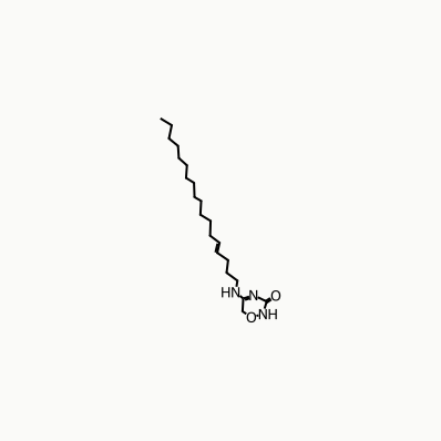 CCCCCCCCCCCCCC=CCCCNC1=NC(=O)NOC1